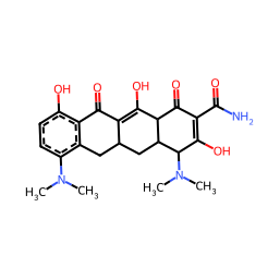 CN(C)c1ccc(O)c2c1CC1CC3C(C(=O)C(C(N)=O)=C(O)C3N(C)C)C(O)=C1C2=O